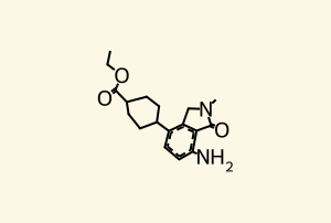 CCOC(=O)C1CCC(c2ccc(N)c3c2CN(C)C3=O)CC1